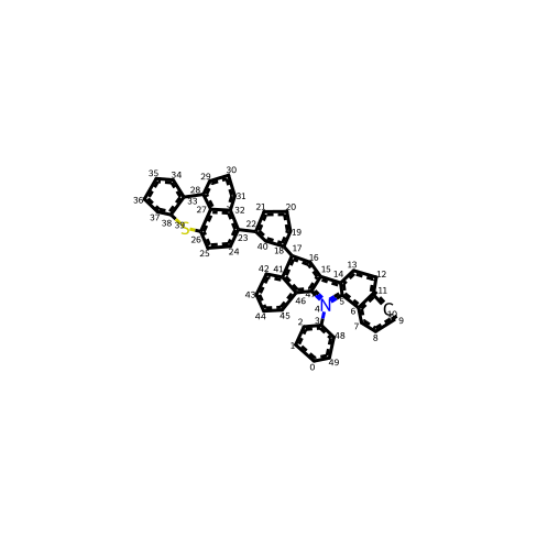 c1ccc(-n2c3c4ccccc4ccc3c3cc(-c4cccc(-c5ccc6c7c(cccc57)-c5ccccc5S6)c4)c4ccccc4c32)cc1